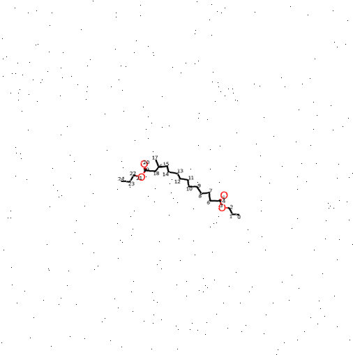 CCCOC(=O)CCCCCCCCCCC(C)CC(=O)OCCC